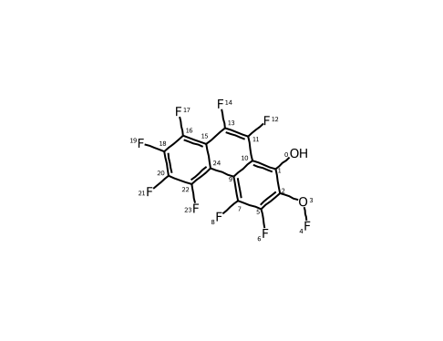 Oc1c(OF)c(F)c(F)c2c1c(F)c(F)c1c(F)c(F)c(F)c(F)c12